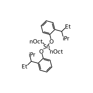 CCCCCCC[CH2][Sn]([CH2]CCCCCCC)([O]c1ccccc1C(CC)C(C)C)[O]c1ccccc1C(CC)C(C)C